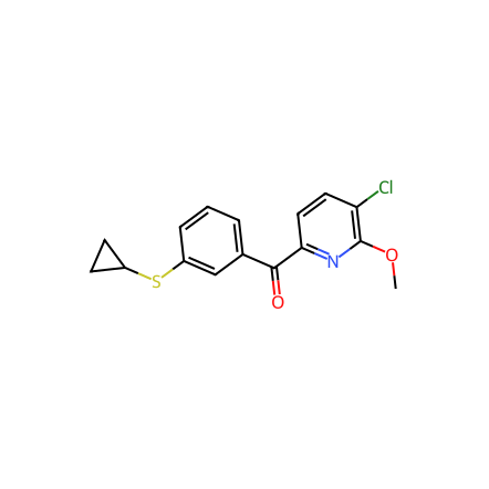 COc1nc(C(=O)c2cccc(SC3CC3)c2)ccc1Cl